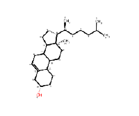 CC(C)CCC[C@H](C)[C@H]1CCC2C3CC=C4C[C@@H](O)CCC4C3CC[C@@]21C